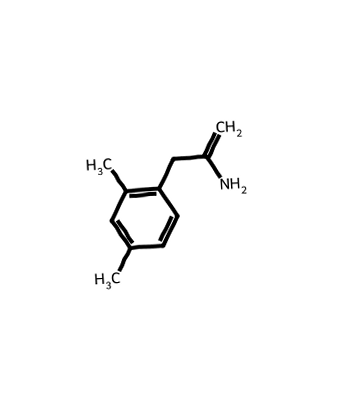 C=C(N)Cc1ccc(C)cc1C